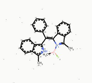 CB(F)[N+]1=C(C)c2ccccc2/C1=C(\c1ccccc1)c1[nH]c(C)c2ccccc12